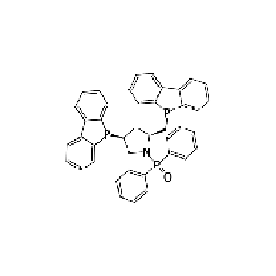 O=P(c1ccccc1)(c1ccccc1)N1C[C@@H](p2c3ccccc3c3ccccc32)C[C@H]1Cp1c2ccccc2c2ccccc21